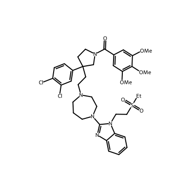 CCS(=O)(=O)CCn1c(N2CCCN(CCC3(c4ccc(Cl)c(Cl)c4)CCN(C(=O)c4cc(OC)c(OC)c(OC)c4)C3)CC2)nc2ccccc21